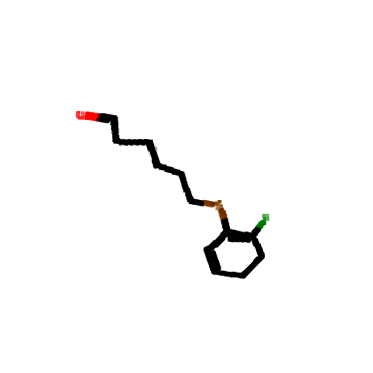 O=CCCCCCSC1=C(F)CCC=C1